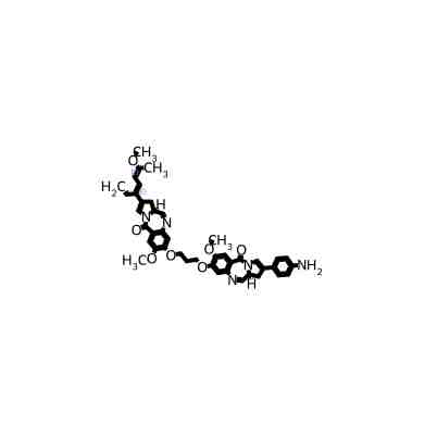 C=C/C(=C\C=C(/C)OC)C1=CN2C(=O)c3cc(OC)c(OCCCOc4cc5c(cc4OC)C(=O)N4C=C(c6ccc(N)cc6)C[C@H]4C=N5)cc3N=C[C@@H]2C1